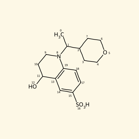 CC(C1CCOCC1)N1CCC(O)c2cc(S(=O)(=O)O)ccc21